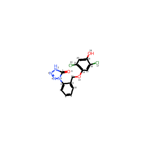 O=c1[nH]nnn1-c1ccccc1COc1cc(Cl)c(O)cc1Cl